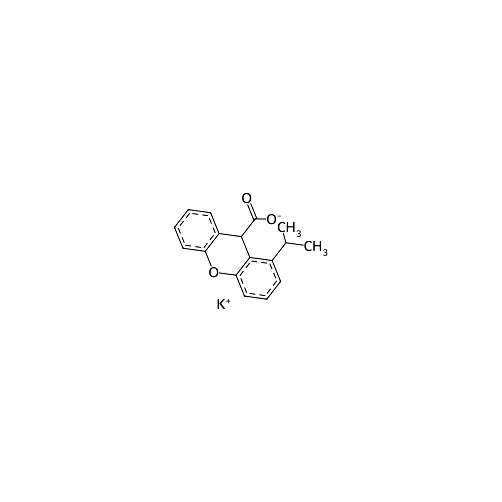 CC(C)c1cccc2c1C(C(=O)[O-])c1ccccc1O2.[K+]